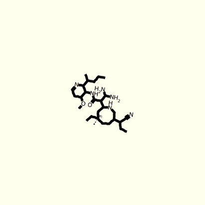 CCCC(C)C1N=CCC(OC)C1NC(=O)C(C(N)N)C1C[C@](C)(CC)CCC(C(C#N)CC)CN1